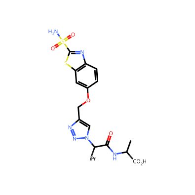 CC(NC(=O)C(C(C)C)n1cc(COc2ccc3nc(S(N)(=O)=O)sc3c2)nn1)C(=O)O